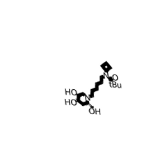 CC(C)(C)C(=O)N(CCCCCCN1C[C@H](O)[C@@H](O)C[C@H]1CO)C1CCC1